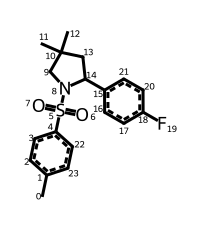 Cc1ccc(S(=O)(=O)N2CC(C)(C)CC2c2ccc(F)cc2)cc1